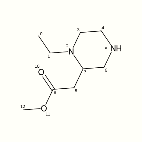 CCN1CCNCC1CC(=O)OC